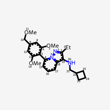 CCc1nn2c(-c3c(OC)cc(COC)cc3OC)cccc2c1NCC1CCC1